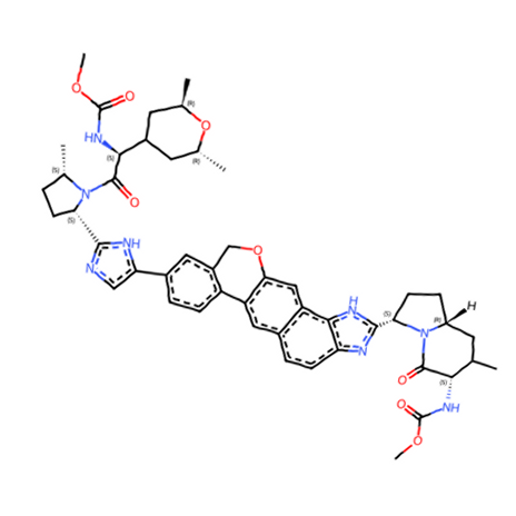 COC(=O)N[C@@H]1C(=O)N2[C@H](CC[C@H]2c2nc3ccc4cc5c(cc4c3[nH]2)OCc2cc(-c3cnc([C@@H]4CC[C@H](C)N4C(=O)[C@@H](NC(=O)OC)C4C[C@@H](C)O[C@H](C)C4)[nH]3)ccc2-5)CC1C